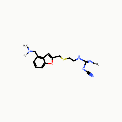 C/N=C(\NC#N)NCCSCc1cc2c(CN(C)C)cccc2o1